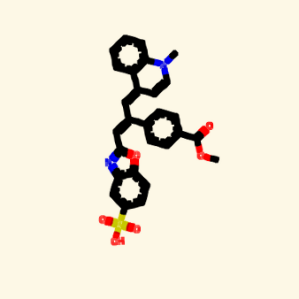 COC(=O)c1ccc(C(=C\c2nc3cc(S(=O)(=O)O)ccc3o2)/C=C2\C=CN(C)c3ccccc32)cc1